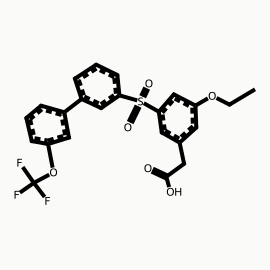 CCOc1cc(CC(=O)O)cc(S(=O)(=O)c2cccc(-c3cccc(OC(F)(F)F)c3)c2)c1